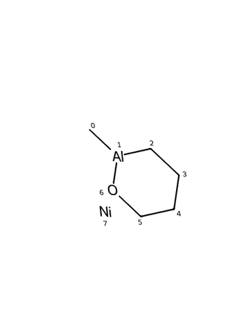 [CH3][Al]1[CH2]CCC[O]1.[Ni]